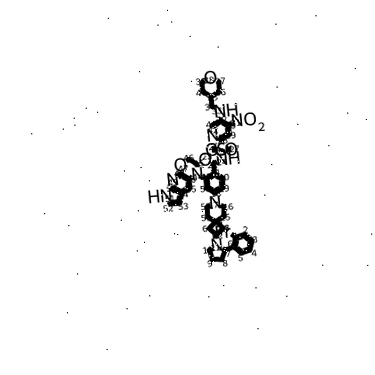 CC(C)c1ccccc1C1CCCN1C1CC2(CCN(c3ccc(C(=O)NS(=O)(=O)c4cc([N+](=O)[O-])c(NCC5CCOCC5)cn4)c(N4CCOc5nc6[nH]ccc6cc54)c3)CC2)C1